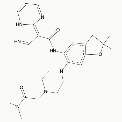 CN(C)C(=O)CN1CCN(c2cc3c(cc2NC(=O)/C(C=N)=C2\N=CC=CN2)CC(C)(C)O3)CC1